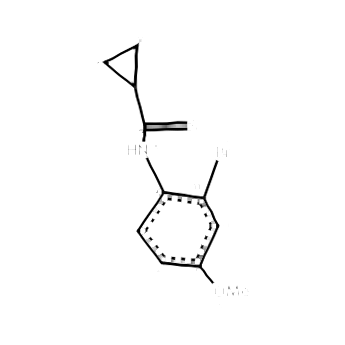 COc1ccc(NC(=S)C2CC2)c(Br)c1